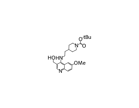 COc1ccc2ncc(CO)c(NCCC3CCN(C(=O)OC(C)(C)C)CC3)c2c1